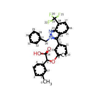 Cc1cccc(C(Oc2cccc(-c3c4cccc(C(F)(F)F)c4nn3Cc3ccccc3)c2)C(=O)O)c1